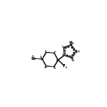 CCN1CCC(F)(c2c[nH]nn2)CC1